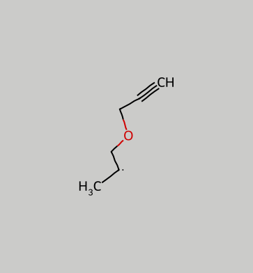 C#CCOC[CH]C